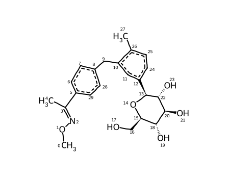 CON=C(C)c1ccc(Cc2cc([C@@H]3O[C@H](CO)[C@@H](O)[C@H](O)[C@H]3O)ccc2C)cc1